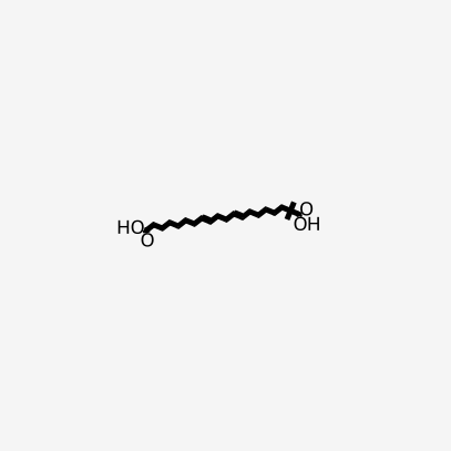 CC(C)(CCCCCC=CCCC=CCCCCCCC(=O)O)C(=O)O